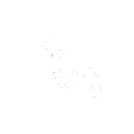 CC(C)(C)C(=O)Nc1cncc(-c2cnc3[nH]nc(-c4cc5c(-c6ccccn6)nccc5[nH]4)c3c2)c1